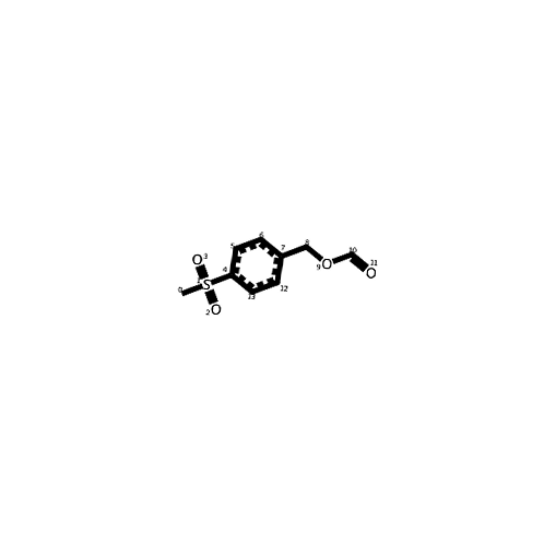 CS(=O)(=O)c1ccc(CO[C]=O)cc1